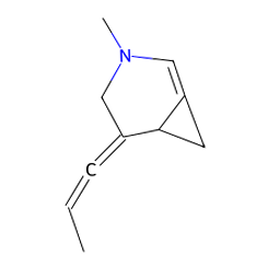 CC=C=C1CN(C)C=C2CC12